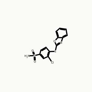 NS(=O)(=O)c1ccc(Sc2nc3ccccc3o2)c(Cl)c1